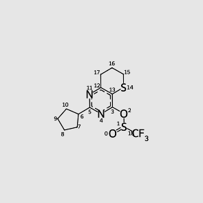 O=S(Oc1nc(C2CCCC2)nc2c1SCCC2)C(F)(F)F